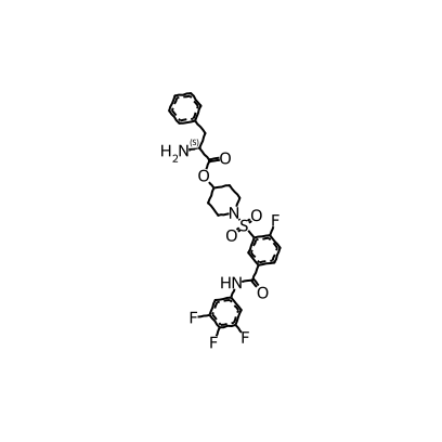 N[C@@H](Cc1ccccc1)C(=O)OC1CCN(S(=O)(=O)c2cc(C(=O)Nc3cc(F)c(F)c(F)c3)ccc2F)CC1